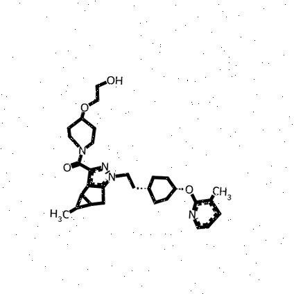 Cc1cccnc1O[C@H]1CC[C@@H](CCn2nc(C(=O)N3CCC(OCCO)CC3)c3c2CC2C(C)C32)CC1